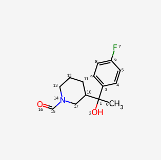 CC(O)(c1ccc(F)cc1)C1CCCN(C=O)C1